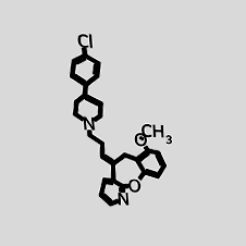 COc1cccc2c1CC(=CCCN1CC=C(c3ccc(Cl)cc3)CC1)c1cccnc1O2